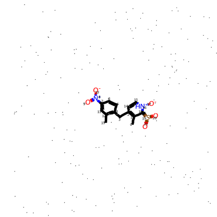 CC1=C(Cc2ccc([N+](=O)[O-])cc2C)C=C[NH+]([O-])C1=S(=O)=O